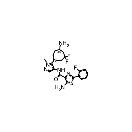 Cn1ncc(NC(=O)c2nc(-c3ccccc3F)sc2N)c1N1CC[C@@H](N)CC(F)(F)C1